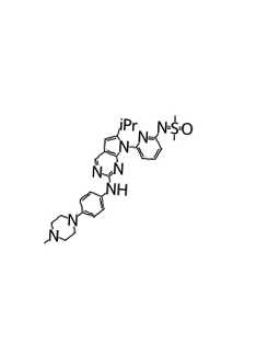 CC(C)c1cc2cnc(Nc3ccc(N4CCN(C)CC4)cc3)nc2n1-c1cccc(N=S(C)(C)=O)n1